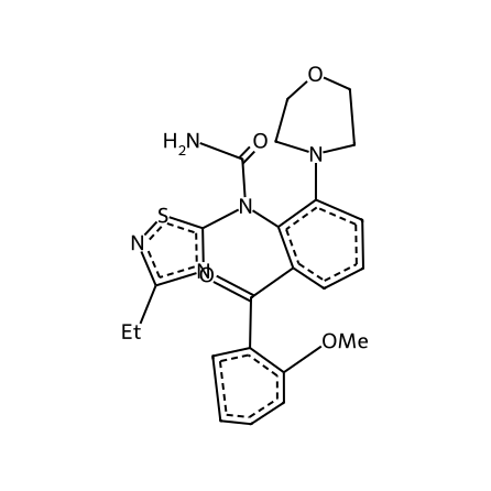 CCc1nsc(N(C(N)=O)c2c(C(=O)c3ccccc3OC)cccc2N2CCOCC2)n1